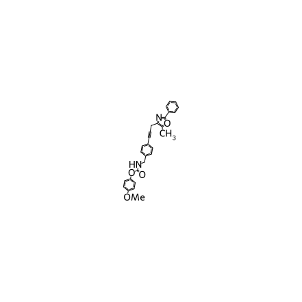 COc1ccc(OC(=O)NCc2ccc(C#CCc3nc(-c4ccccc4)oc3C)cc2)cc1